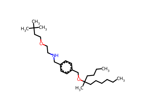 CCCCCCC(C)(CCCC)OCc1ccc(CNCCOCCC(C)(C)C)cc1